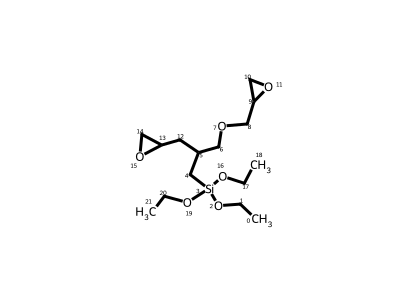 CCO[Si](CC(COCC1CO1)CC1CO1)(OCC)OCC